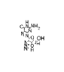 [2H]C(O)[C@H]1O[C@@H](n2cnc3c(=O)[nH]c(N)nc32)[C@H](N=[N+]=[N-])[C@@H]1O